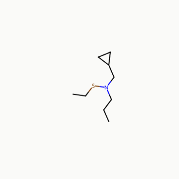 CCCN(CC1CC1)SCC